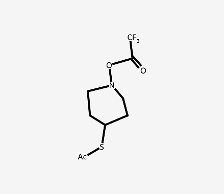 CC(=O)SC1CCN(OC(=O)C(F)(F)F)CC1